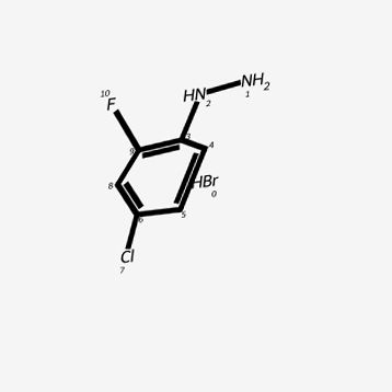 Br.NNc1ccc(Cl)cc1F